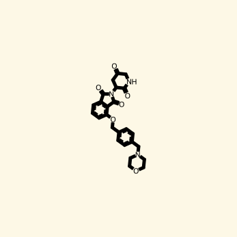 O=C1CNC(=O)C(N2C(=O)c3cccc(OCc4ccc(CN5CCOCC5)cc4)c3C2=O)C1